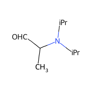 CC(C)N(C(C)C)C(C)C=O